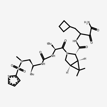 CC[C@H](C)[C@@H](CN(C)S(=O)(=O)c1cccs1)NC(=O)N[C@H](C(=O)N1C[C@H]2[C@@H]([C@H]1C(=O)NC(CC1CCC1)C(=O)C(N)=O)C2(C)C)C(C)(C)C